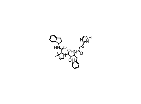 CC1(C)SCN(C(=O)[C@@H](O)[C@H](Cc2ccccc2)NC(=O)CSc2nc[nH]n2)[C@@H]1C(=O)N[C@H]1CCc2ccccc21